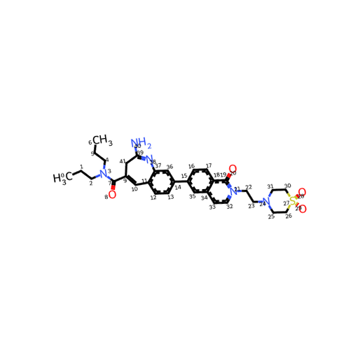 CCCN(CCC)C(=O)C1=Cc2ccc(-c3ccc4c(=O)n(CCN5CCS(=O)(=O)CC5)ccc4c3)cc2N=C(N)C1